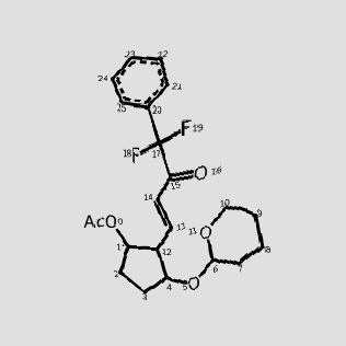 CC(=O)O[C]1CCC(OC2CCCCO2)C1/C=C/C(=O)C(F)(F)c1ccccc1